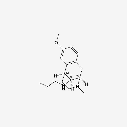 CCCN[C@@H]1[C@H]2Cc3ccc(OC)cc3[C@@H]1CCN2C